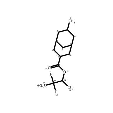 CC1CC2CC(C1)CC(C(=O)OC(C(F)(F)F)C(F)(F)S(=O)(=O)O)C2